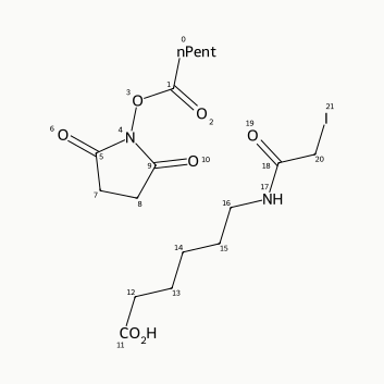 CCCCCC(=O)ON1C(=O)CCC1=O.O=C(O)CCCCCNC(=O)CI